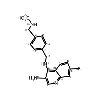 Nc1cnc2cc(Br)ccc2c1NCc1ccc(CNC(=O)O)cc1